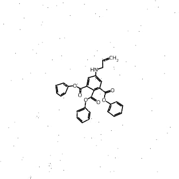 C=CCNc1cc(C(=O)Oc2ccccc2)c(C(=O)Oc2ccccc2)c(C(=O)Oc2ccccc2)c1